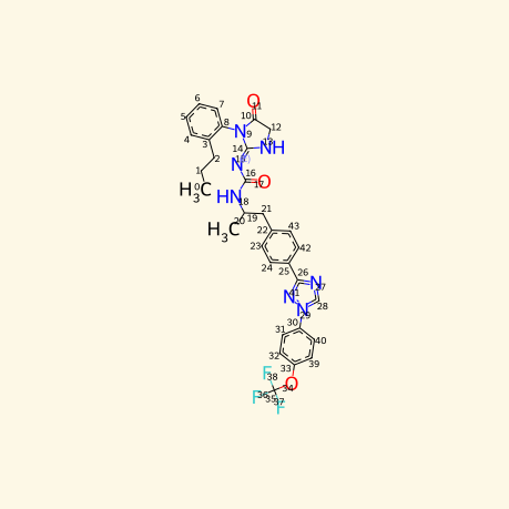 CCCc1ccccc1N1C(=O)CN/C1=N\C(=O)NC(C)Cc1ccc(-c2ncn(-c3ccc(OC(F)(F)F)cc3)n2)cc1